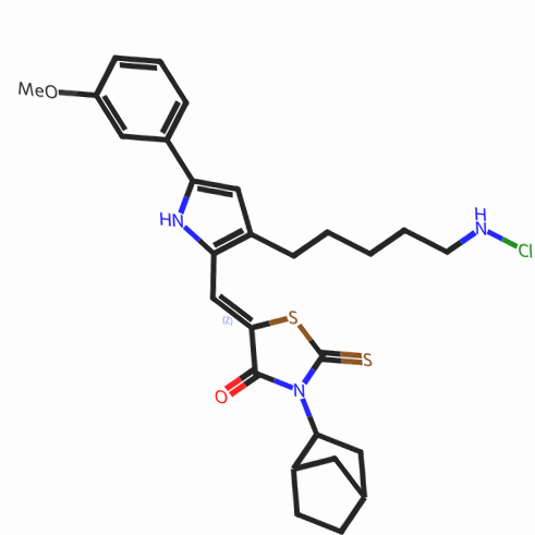 COc1cccc(-c2cc(CCCCCNCl)c(/C=C3\SC(=S)N(C4CC5CCC4C5)C3=O)[nH]2)c1